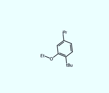 CCOc1cc(C(C)C)ccc1C(C)(C)C